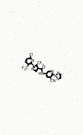 N#Cc1cc(NC(=O)c2cnn(-c3nc(Cl)ccc3C(F)(F)F)c2C(F)(F)F)cnc1-n1nccn1